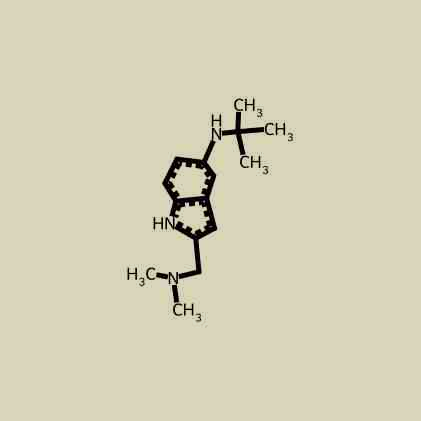 CN(C)Cc1cc2cc(NC(C)(C)C)ccc2[nH]1